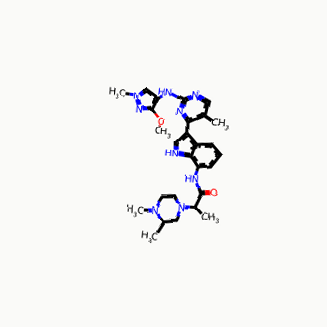 COc1nn(C)cc1Nc1ncc(C)c(-c2c[nH]c3c(NC(=O)C(C)N4CCN(C)C(C)C4)cccc23)n1